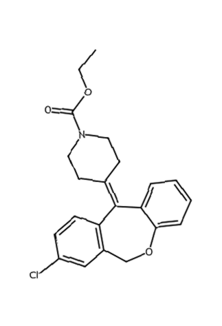 CCOC(=O)N1CCC(=C2c3ccc(Cl)cc3COc3ccccc32)CC1